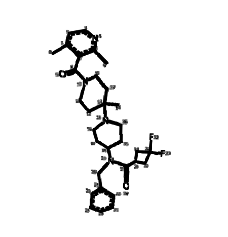 Cc1ccnc(C)c1C(=O)N1CCC(C)(N2CCC(N(Cc3ccccc3)C(=O)C3CC(F)(F)C3)CC2)CC1